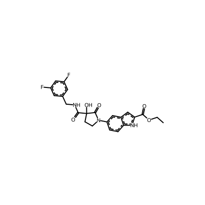 CCOC(=O)c1cc2cc(N3CCC(O)(C(=O)NCc4cc(F)cc(F)c4)C3=O)ccc2[nH]1